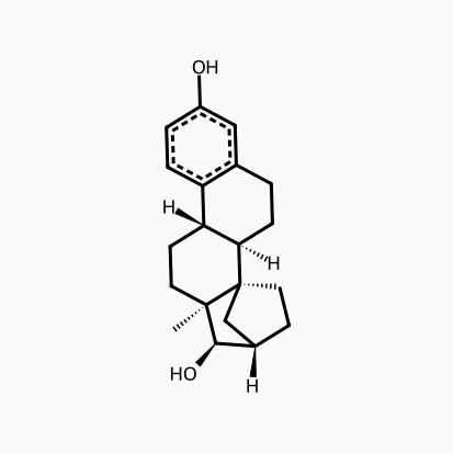 C[C@]12CC[C@@H]3c4ccc(O)cc4CC[C@H]3[C@]13CC[C@@H](C3)[C@H]2O